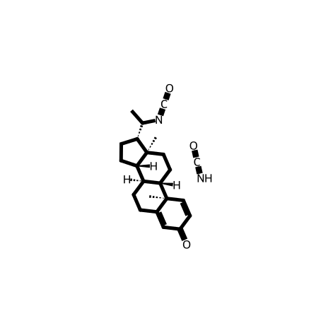 CC(N=C=O)[C@H]1CC[C@H]2[C@@H]3CCC4=CC(=O)C=C[C@]4(C)[C@H]3CC[C@]12C.N=C=O